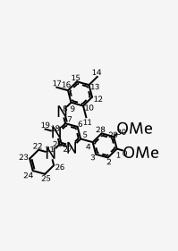 COc1ccc(-c2cc(=Nc3c(C)cc(C)cc3C)n(C)c(N3CC=CCC3)n2)cc1OC